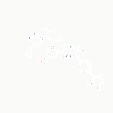 Cc1ncsc1-c1ccc(C(NC(=O)[C@@H]2C[C@@H](O)CN2C(=O)C(n2cc(C3CC3)nn2)C(C)(C)C)C(F)(F)F)cc1